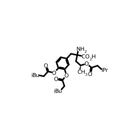 CCC(C)CC(=O)Oc1ccc(CC(N)(C[C@H](C)OC(=O)CC(C)C)C(=O)O)cc1OC(=O)CC(C)CC